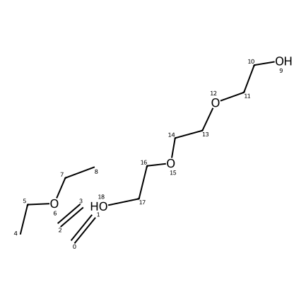 C=C.C=C.CCOCC.OCCOCCOCCO